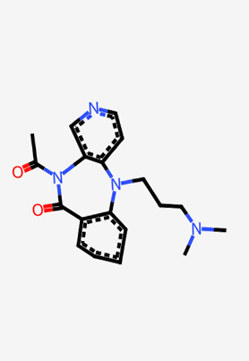 CC(=O)N1C(=O)c2ccccc2N(CCCN(C)C)c2ccncc21